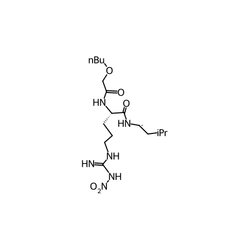 CCCCOCC(=O)N[C@@H](CCCNC(=N)N[N+](=O)[O-])C(=O)N[CH]CC(C)C